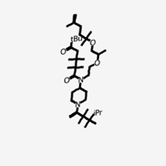 C=C(C)CCC(C)(C)OCC(C)OCCN(C(=O)C(C)(C)C(C)(C)CC(=O)C(C)(C)C)C1CCN(C(=C)C(C)(C)C(C)(C)C(C)C)CC1